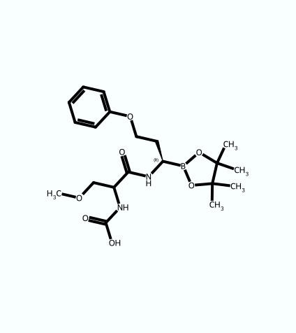 COCC(NC(=O)O)C(=O)N[C@@H](CCOc1ccccc1)B1OC(C)(C)C(C)(C)O1